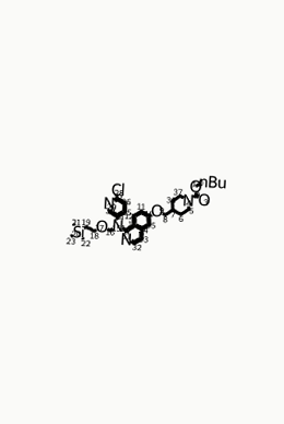 CCCCOC(=O)N1CCC(COc2ccc3c(N(COCC[Si](C)(C)C)c4ccc(Cl)nc4)nccc3c2)CC1